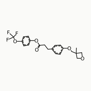 CC1(COc2ccc(CCC(=O)Oc3ccc(OC(F)(F)F)cc3)cc2)COC1